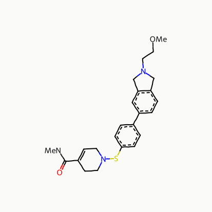 CNC(=O)C1=CCN(Sc2ccc(-c3ccc4c(c3)CN(CCOC)C4)cc2)CC1